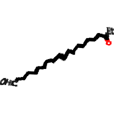 CCC(=O)CCCCCCCCCCCCCCCCC[C]=O